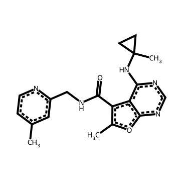 Cc1ccnc(CNC(=O)c2c(C)oc3ncnc(NC4(C)CC4)c23)c1